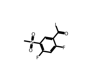 CS(=O)(=O)c1cc(C(=O)I)c(F)cc1F